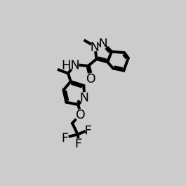 CC(NC(=O)c1c2ccccc2nn1C)c1ccc(OCC(F)(F)F)nc1